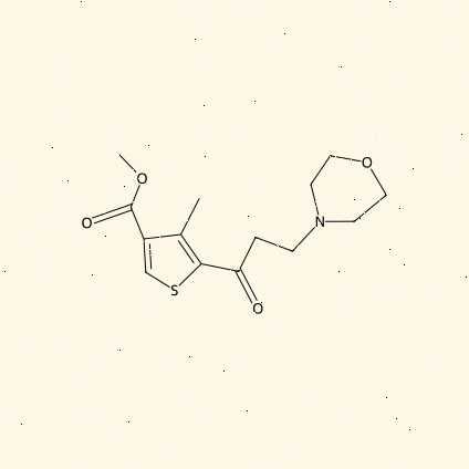 COC(=O)c1csc(C(=O)CCN2CCOCC2)c1C